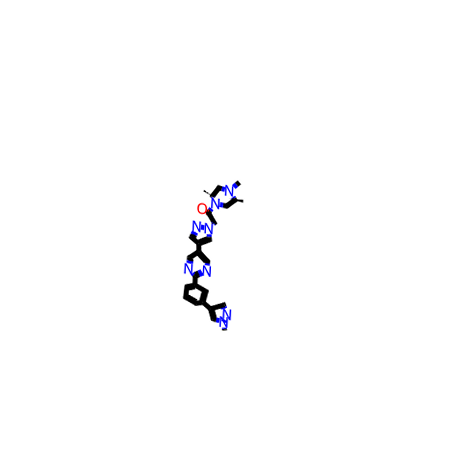 C[C@@H]1CN(C)[C@@H](C)CN1C(=O)Cn1cc(-c2cnc(-c3cccc(-c4cnn(C)c4)c3)nc2)cn1